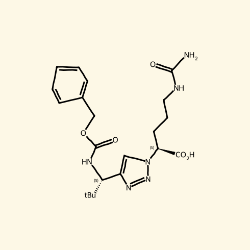 CC(C)(C)[C@H](NC(=O)OCc1ccccc1)c1cn([C@@H](CCCNC(N)=O)C(=O)O)nn1